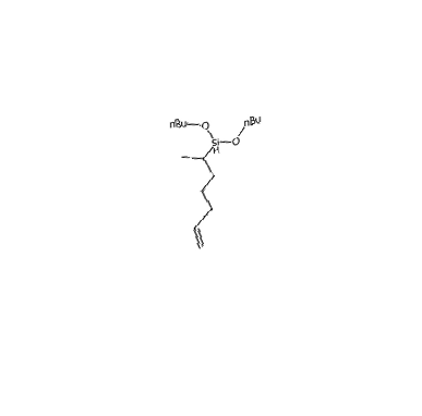 C=CCCCC(C)[SiH](OCCCC)OCCCC